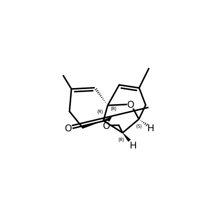 CC1=C[C@]23C=C(C)C[C@H](O2)[C@H]2COC(=O)[C@]23CC1